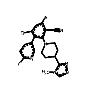 Cn1cnnc1C1CCN(c2c(C#N)c(Br)cc(Cl)c2-c2ccc(F)nc2)CC1